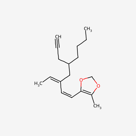 C#CCC(CCCC)CC(/C=C\C1=C(C)OCO1)=C/C